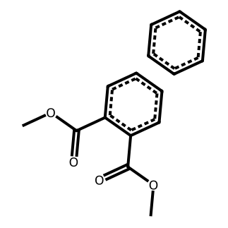 COC(=O)c1ccccc1C(=O)OC.c1ccccc1